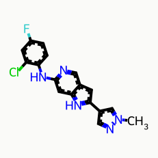 Cn1cc(-c2cc3cnc(Nc4ccc(F)cc4Cl)cc3[nH]2)cn1